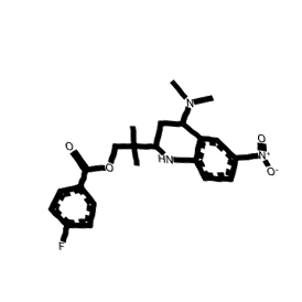 CN(C)C1CC(C(C)(C)COC(=O)c2ccc(F)cc2)Nc2ccc([N+](=O)[O-])cc21